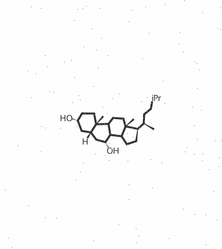 CC(C)CC[C@@H](C)[C@H]1CCC2C3C(CC[C@@]21C)[C@@]1(C)CC[C@@H](O)C[C@H]1C[C@H]3O